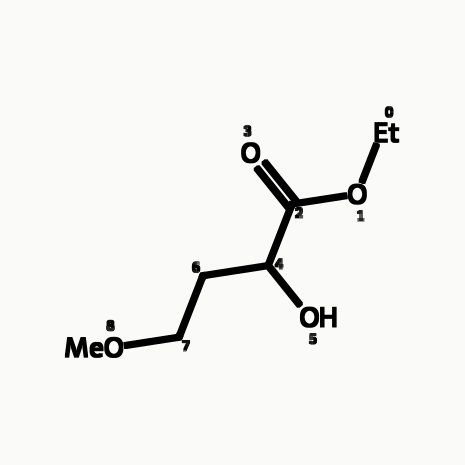 CCOC(=O)C(O)CCOC